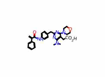 C=C(C(=O)Nc1ccc(Cc2nc(N(C)C)c(CC(=O)O)c(N3CCOCC3)n2)cc1)c1ccccc1